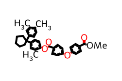 COC(=O)c1ccc(Oc2ccc(C(=O)Oc3ccc(C4(c5ccc(C)c(C)c5)CCCCC4)cc3C)cc2)cc1